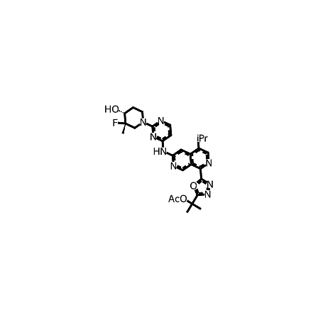 CC(=O)OC(C)(C)c1nnc(-c2ncc(C(C)C)c3cc(Nc4ccnc(N5CC[C@@H](O)[C@@](C)(F)C5)n4)ncc23)o1